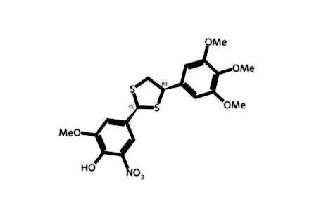 COc1cc([C@H]2SC[C@@H](c3cc(OC)c(OC)c(OC)c3)S2)cc([N+](=O)[O-])c1O